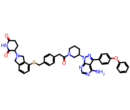 Nc1ncnc2c1c(-c1ccc(Oc3ccccc3)cc1)nn2[C@@H]1CCCN(C(=O)Cc2ccc(CSc3cccc4c3CN(C3CCC(=O)NC3=O)C4)cc2)C1